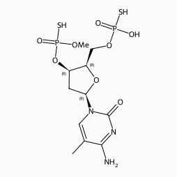 COP(=O)(S)O[C@@H]1C[C@H](n2cc(C)c(N)nc2=O)O[C@@H]1COP(=O)(O)S